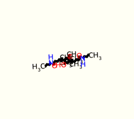 CCCCNC(=O)CCCC(C)(C)c1cc(OC)c(C(C)(C)CCCC(=O)NCCCC)cc1O